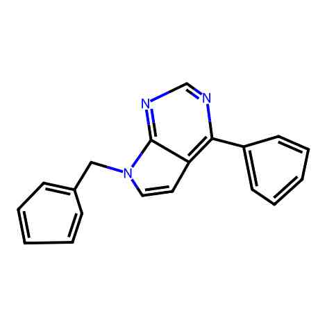 c1ccc(Cn2ccc3c(-c4ccccc4)ncnc32)cc1